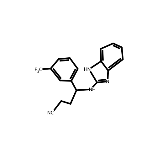 N#CCCC(Nc1nc2ccccc2[nH]1)c1cccc(C(F)(F)F)c1